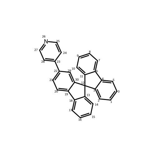 c1ccc2c(c1)-c1ccccc1C21c2ccccc2-c2ccc(-c3ccncc3)cc21